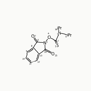 CC(C)N(C(=S)ON1C(=O)c2ccccc2C1=O)C(C)C